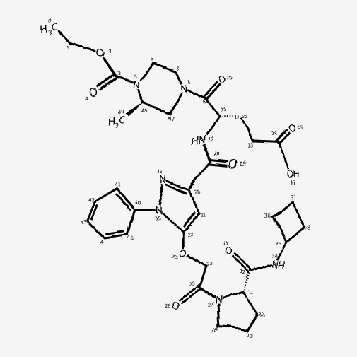 CCOC(=O)N1CCN(C(=O)[C@H](CCC(=O)O)NC(=O)c2cc(OCC(=O)N3CCC[C@H]3C(=O)NC3CCC3)n(-c3ccccc3)n2)C[C@H]1C